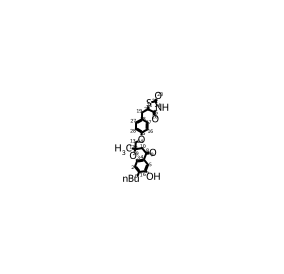 CCCCc1cc2c(cc1O)C(=O)CC(C)(COc1ccc(CC3SC(=O)NC3=O)cc1)O2